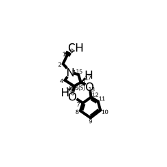 C#CCN1C[C@@H]2Oc3ccccc3O[C@H]2C1